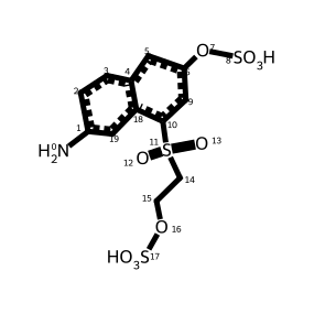 Nc1ccc2cc(OS(=O)(=O)O)cc(S(=O)(=O)CCOS(=O)(=O)O)c2c1